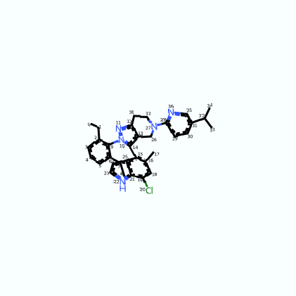 CCc1cccc(CC)c1-n1nc2c(c1-c1c(C)cc(Cl)c3[nH]ccc13)CN(c1ccc(C(C)C)cn1)CC2